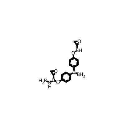 BBB(Oc1ccc(B(B)c2ccc(OBC3CO3)cc2)cc1)C1CO1